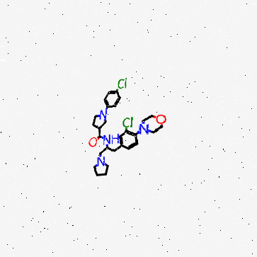 O=C(NC(Cc1ccc(N2CCOCC2)c(Cl)c1)CN1CCCC1)C1CCN(c2ccc(Cl)cc2)C1